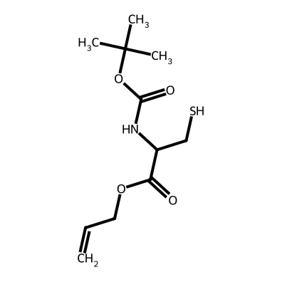 C=CCOC(=O)C(CS)NC(=O)OC(C)(C)C